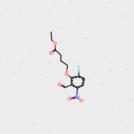 CCOC(=O)CCCOc1c(F)ccc([N+](=O)[O-])c1C=O